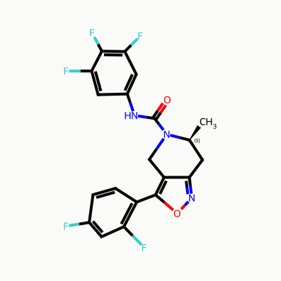 C[C@H]1Cc2noc(-c3ccc(F)cc3F)c2CN1C(=O)Nc1cc(F)c(F)c(F)c1